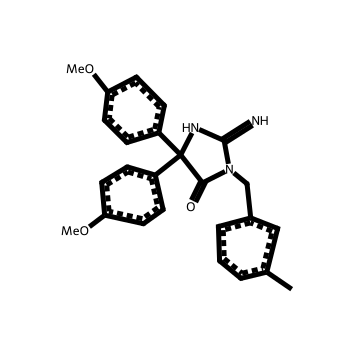 COc1ccc(C2(c3ccc(OC)cc3)NC(=N)N(Cc3cccc(C)c3)C2=O)cc1